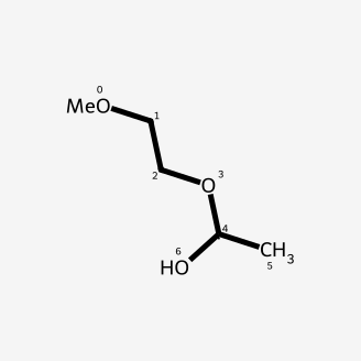 COCCO[C](C)O